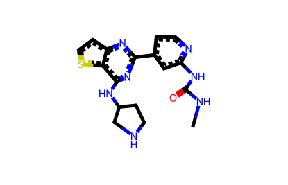 CNC(=O)Nc1cc(-c2nc(NC3CCNC3)c3sccc3n2)ccn1